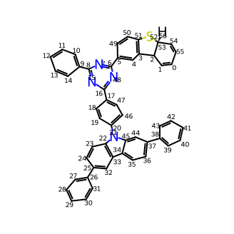 C1=CC2c3cc(-c4nc(-c5ccccc5)nc(-c5ccc(-n6c7ccc(-c8ccccc8)cc7c7ccc(-c8ccccc8)cc76)cc5)n4)ccc3S[C@@H]2C=C1